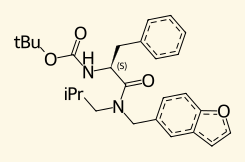 CC(C)CN(Cc1ccc2occc2c1)C(=O)[C@H](Cc1ccccc1)NC(=O)OC(C)(C)C